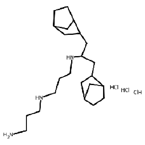 Cl.Cl.Cl.NCCCNCCCNC(CC1CC2CCC1C2)CC1CC2CCC1C2